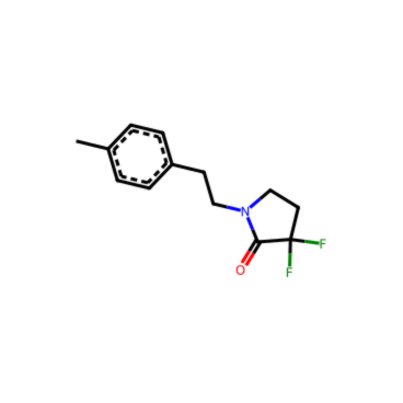 Cc1ccc(CCN2CCC(F)(F)C2=O)cc1